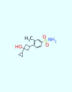 Cc1cc(S(N)(=O)=O)ccc1C1CC(O)(C2CC2)C1